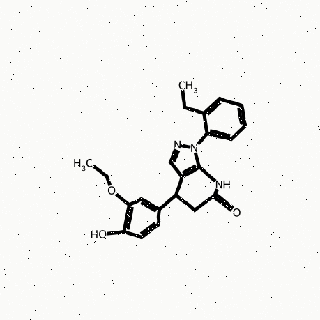 CCOc1cc(C2CC(=O)Nc3c2cnn3-c2ccccc2CC)ccc1O